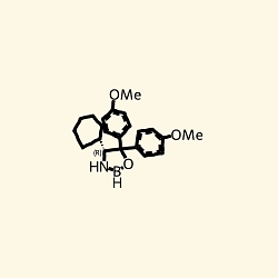 COc1ccc(C2(c3ccc(OC)cc3)OBN[C@@H]2C2CCCCC2)cc1